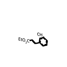 C.CCOC(=O)C=Cc1ccccc1